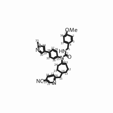 COc1ccc(CNC(=O)N(C2=CCCC(Cc3ccc(C#N)cn3)CC2)c2ccc(-c3cnn(C)c3)cc2)cc1